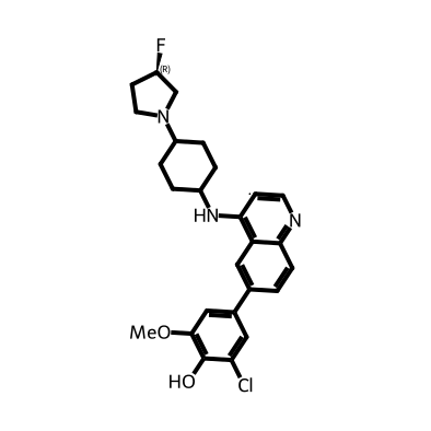 COc1cc(-c2ccc3nc[c]c(NC4CCC(N5CC[C@@H](F)C5)CC4)c3c2)cc(Cl)c1O